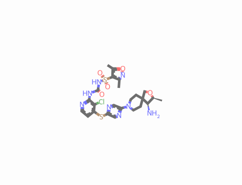 Cc1noc(C)c1S(=O)(=O)NC(=O)Nc1nccc(Sc2cnc(N3CCC4(CC3)CO[C@@H](C)[C@H]4N)cn2)c1Cl